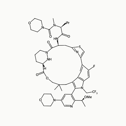 CO[C@@H](C)c1ncc(N2CCOCC2)cc1-c1c2c3cc(c(F)cc3n1CC(F)(F)F)-c1csc(n1)C[C@H](NC(=O)[C@H](C(C)C)N(C)C(=O)N1CCOCC1)C(=O)N1CCC[C@H](N1)C(=O)OCC(C)(C)C2